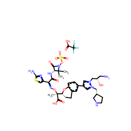 CC1(C)[C@H](NC(=O)/C(=N\O[C@](C)(C(=O)O)[C@H]2CCc3cc(-c4cn(C[C@@H](O)CN)[n+](C[C@@H]5CCNC5)c4)ccc3O2)c2csc(N)n2)C(=O)N1OS(=O)(=O)[O-].O=C(O)C(F)(F)F